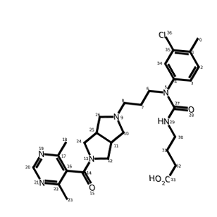 Cc1ccc(N(CCCN2CC3CN(C(=O)c4c(C)ncnc4C)CC3C2)C(=O)NCCCC(=O)O)cc1Cl